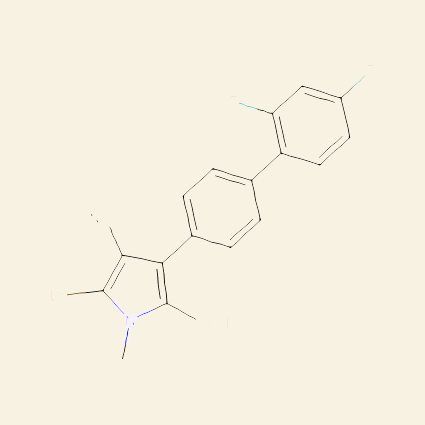 CCOC(=O)c1c(-c2ccc(-c3ccc(F)cc3F)cc2)c(C#N)c(Br)n1C